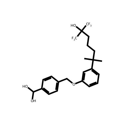 CC(C)(CCCC(O)(C(F)(F)F)C(F)(F)F)c1cccc(OCc2ccc(C(O)O)cc2)c1